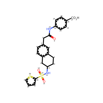 O=C(Cc1ccc2c(c1)CCC(NS(=O)(=O)c1cccs1)C2)Nc1ccc(C(=O)O)cc1